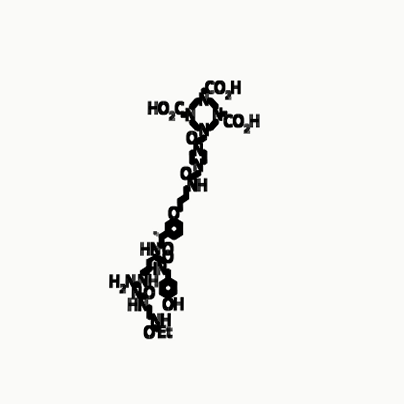 CCC(=O)NCCNC(=O)/N=C(/N)NCCC[C@@H](NC(=O)[C@H](C)c1cccc(OCCCCNC(=O)CN2CCN(C(=O)CN3CCN(CC(=O)O)CCN(CC(=O)O)CCN(CC(=O)O)CC3)CC2)c1)C(=O)NCc1ccc(O)cc1